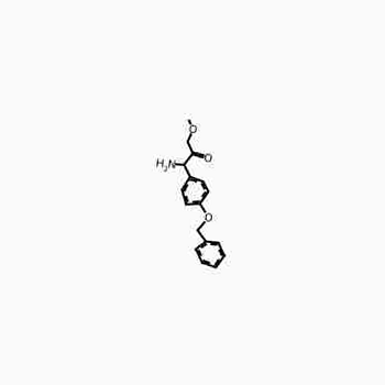 COCC(=O)C(N)c1ccc(OCc2ccccc2)cc1